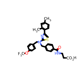 Cc1ccc(-c2csc(N(Cc3ccc(OC(F)(F)F)cc3)Cc3ccc(C(=O)NCCC(=O)O)cc3)n2)c(C)c1